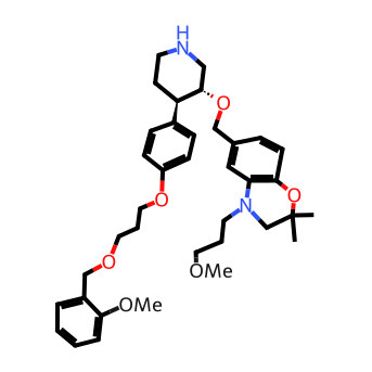 COCCCN1CC(C)(C)Oc2ccc(CO[C@H]3CNCC[C@@H]3c3ccc(OCCCOCc4ccccc4OC)cc3)cc21